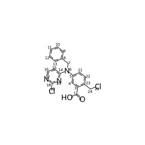 O=C(O)c1cc(N(Cc2ccccc2)c2ccnc(Cl)n2)ccc1CCl